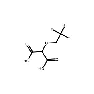 O=C(O)C(OCC(F)(F)F)C(=O)O